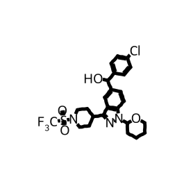 O=S(=O)(N1CCC(c2nn(C3CCCCO3)c3ccc(C(O)c4ccc(Cl)cc4)cc23)CC1)C(F)(F)F